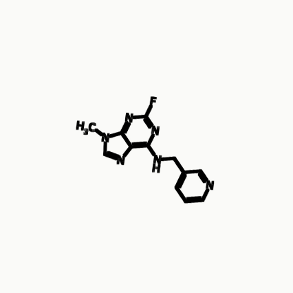 Cn1cnc2c(NCc3cccnc3)nc(F)nc21